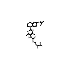 CC(=O)Nc1ccc2c(c1)CCCN2c1nc(C)c(NC(=O)OCCC(C)C(C)C)c(C)n1